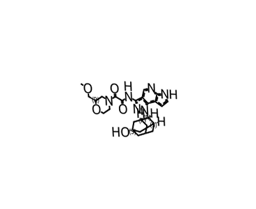 COC[C@H]1CN(C(=O)C(=O)Nc2nn([C@H]3[C@@H]4CC5C[C@H]3C[C@@](O)(C5)C4)c3c2cnc2[nH]ccc23)CCO1